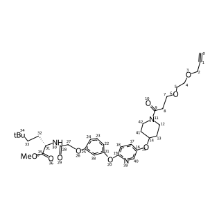 C#CCOCCOCCC(=O)N1CCC(Oc2ccc(Oc3cccc(OCC(=O)N[C@@H](CCC(C)(C)C)C(=O)OC)c3)nc2)CC1